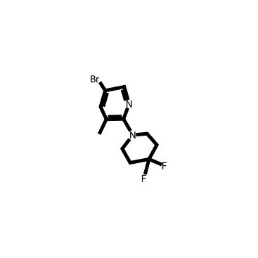 Cc1cc(Br)cnc1N1CCC(F)(F)CC1